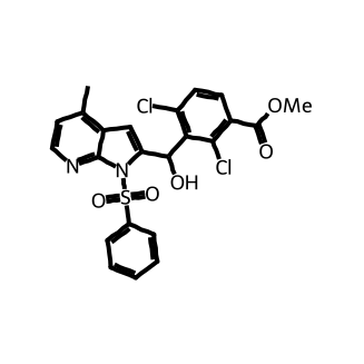 COC(=O)c1ccc(Cl)c(C(O)c2cc3c(C)ccnc3n2S(=O)(=O)c2ccccc2)c1Cl